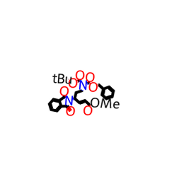 COC(=O)C=CC(CCN(C(=O)OCc1ccccc1)C(=O)OC(C)(C)C)N1C(=O)c2ccccc2C1=O